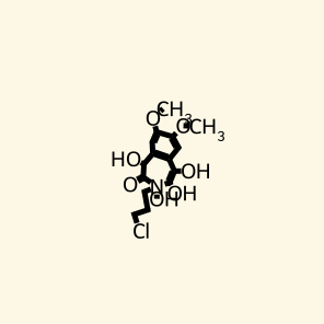 COc1cc2c(cc1OC)C(O)C(=O)[N+](O)(CCCCl)C(O)=C2O